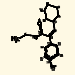 CCOC(=O)C(=CC1CCCCC1)c1ccc(Br)cc1